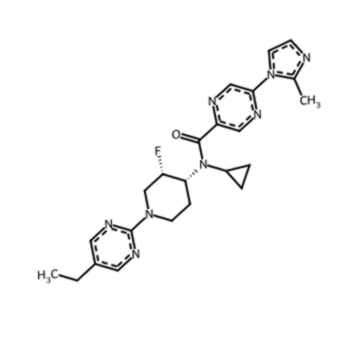 CCc1cnc(N2CC[C@@H](N(C(=O)c3cnc(-n4ccnc4C)cn3)C3CC3)[C@@H](F)C2)nc1